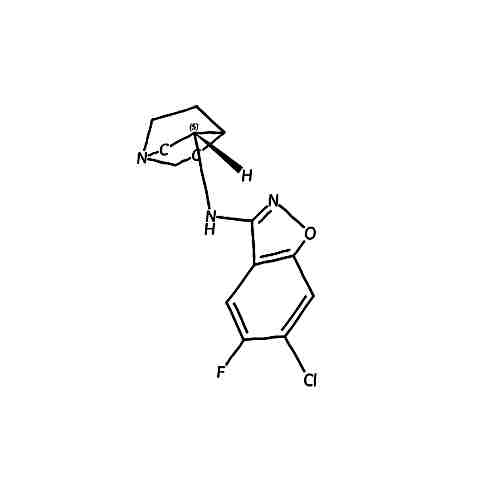 Fc1cc2c(N[C@@H]3CN4CCC3CC4)noc2cc1Cl